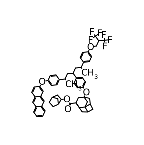 CC(CC(CC(C)c1ccc(Oc2ccc3cc4ccccc4cc3c2)cc1)c1ccc(OC23CC4CC5CC(C(=O)OC6CC7CCC6C7)(C2)CC45C3)cc1)c1ccc(OCC(C(F)(F)F)C(F)(F)F)cc1